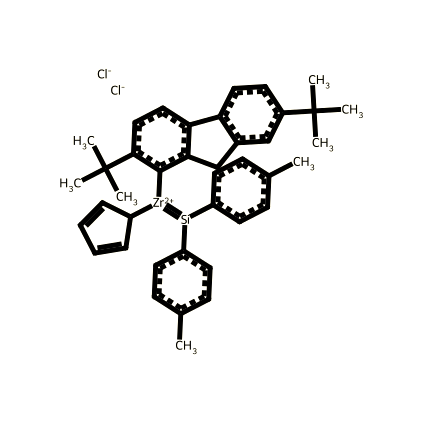 Cc1ccc([Si](c2ccc(C)cc2)=[Zr+2]([c]2c(C(C)(C)C)ccc3c2Cc2cc(C(C)(C)C)ccc2-3)[CH]2C=CC=C2)cc1.[Cl-].[Cl-]